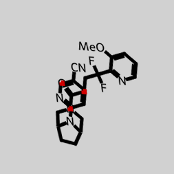 COc1cccnc1C(F)(F)CCC(=O)N1CC2CCC(C1)N2c1ccc(C#N)cn1